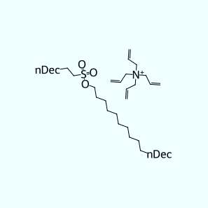 C=CC[N+](CC=C)(CC=C)CC=C.CCCCCCCCCCCCCCCCCCCCOS(=O)(=O)CCCCCCCCCCCC